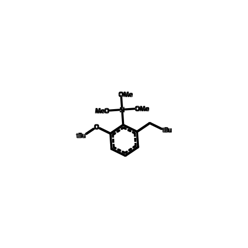 CO[Si](OC)(OC)c1c(CC(C)(C)C)cccc1OC(C)(C)C